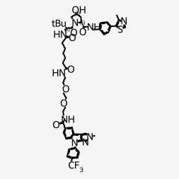 Cc1ncsc1-c1ccc(CNC(=O)[C@@H]2C[C@@H](O)CN2C(=O)[C@@H](NC(=O)CCCCCC(=O)NCCOCCOCCNC(=O)c2ccc3c(c2)c2cn(C)nc2n3-c2ccc(C(F)(F)F)cc2)C(C)(C)C)cc1